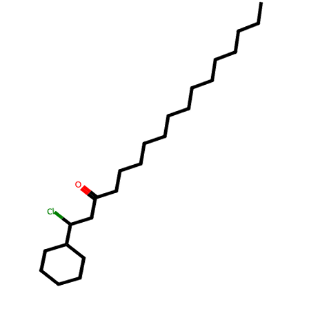 CCCCCCCCCCCCCCC(=O)CC(Cl)C1CCCCC1